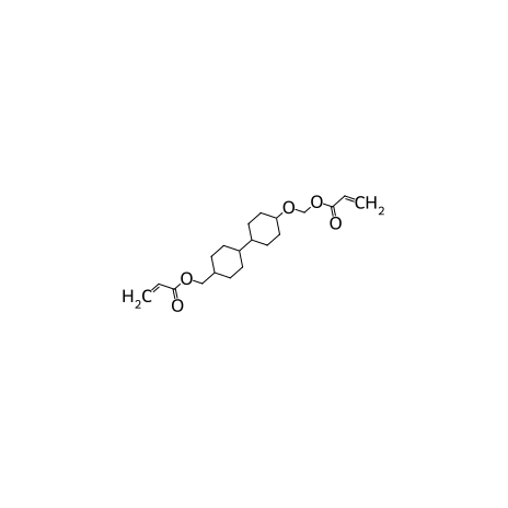 C=CC(=O)OCOC1CCC(C2CCC(COC(=O)C=C)CC2)CC1